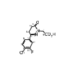 O=C(O)CN1N=C(c2ccc(Cl)c(F)c2)CCC1=O